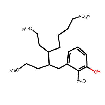 COCCC(CCCCS(=O)(=O)O)C(CCOC)Cc1cccc(O)c1C=O